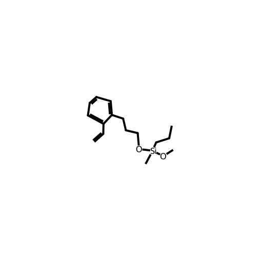 C=Cc1ccccc1CCCO[Si](C)(CCC)OC